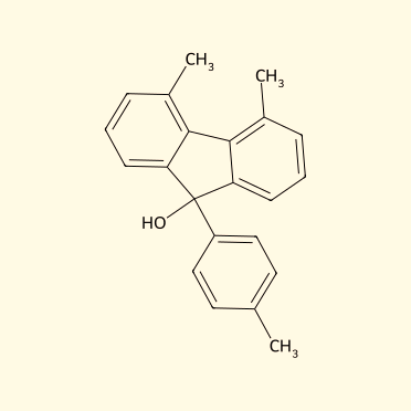 Cc1ccc(C2(O)c3cccc(C)c3-c3c(C)cccc32)cc1